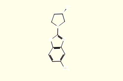 Nc1ccc2oc(N3CC[C@@H](O)C3)nc2c1